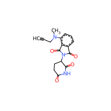 C#CCN(C)c1cccc2c1C(=O)N(C1CCC(=O)NC1=O)C2=O